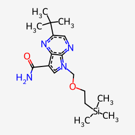 CC(C)(C)c1cnc2c(n1)c(C(N)=O)cn2COCC[Si](C)(C)C